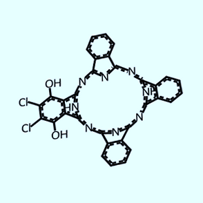 Oc1c(Cl)c(Cl)c(O)c2c3nc4nc(nc5[nH]c(nc6nc(nc([nH]3)c12)-c1ccccc1-6)c1ccccc51)-c1ccccc1-4